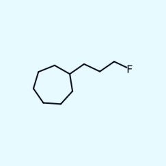 FCCCC1CCCCCC1